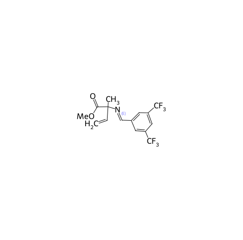 C=CC(C)(/N=C/c1cc(C(F)(F)F)cc(C(F)(F)F)c1)C(=O)OC